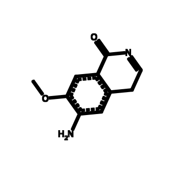 COc1cc2c(cc1N)CC=NC2=O